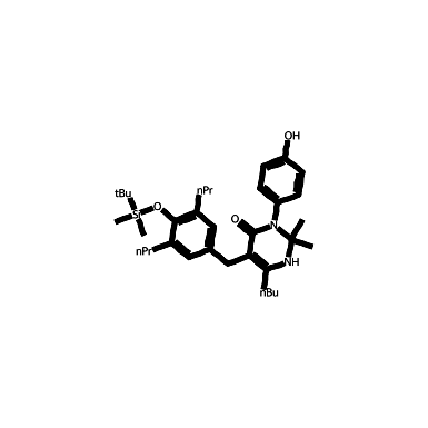 CCCCC1=C(Cc2cc(CCC)c(O[Si](C)(C)C(C)(C)C)c(CCC)c2)C(=O)N(c2ccc(O)cc2)C(C)(C)N1